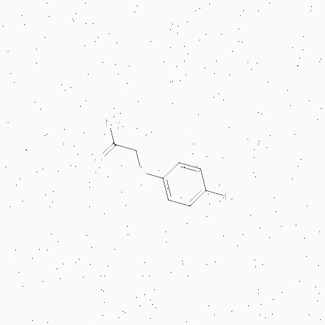 NC(=O)COc1ccc(F)cc1